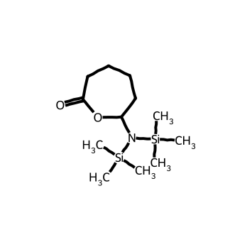 C[Si](C)(C)N(C1CCCCC(=O)O1)[Si](C)(C)C